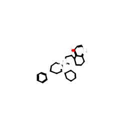 O=C[C@@H]1CN(N2CC[C@@H](c3ccccc3)C[C@H]2C2CCCCC2)C[C@]12CCCc1ncccc12